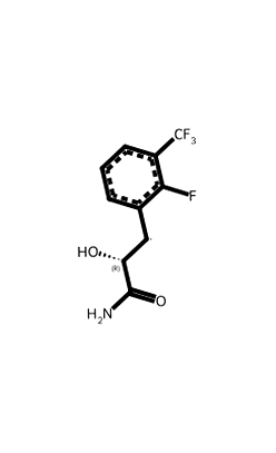 NC(=O)[C@H](O)[CH]c1cccc(C(F)(F)F)c1F